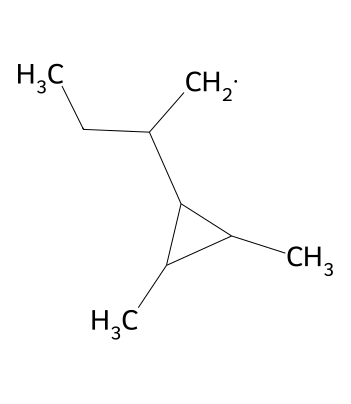 [CH2]C(CC)C1C(C)C1C